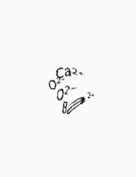 [Ba+2].[Ca+2].[O-2].[O-2]